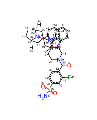 Cc1nc2ccccc2n1C1C[C@H]2CC[C@@H](C1)N2CCC1(c2ccccc2)CCN(C(=O)c2ccc(S(N)(=O)=O)cc2F)CC1